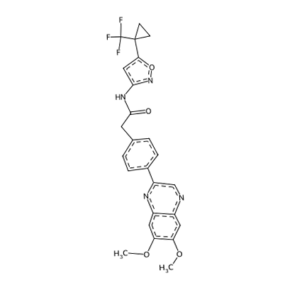 COc1cc2ncc(-c3ccc(CC(=O)Nc4cc(C5(C(F)(F)F)CC5)on4)cc3)nc2cc1OC